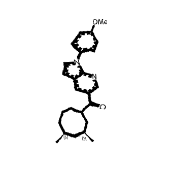 COc1ccc(-n2ccc3cc(C(=O)C4CCC[C@H](C)C[C@H](C)C4)cnc32)cc1